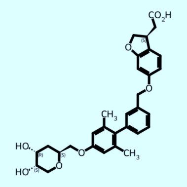 Cc1cc(OC[C@@H]2C[C@@H](O)[C@@H](O)CO2)cc(C)c1-c1cccc(COc2ccc3c(c2)OC[C@H]3CC(=O)O)c1